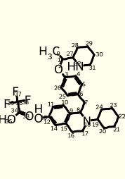 CC(Oc1ccc(CC2c3ccc(O)cc3CCN2C2CCCCC2)cc1)C1CCCCN1.O=C(O)C(F)(F)F